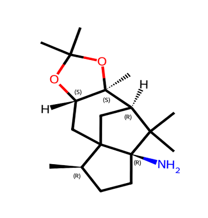 C[C@@H]1CC[C@@]2(N)C(C)(C)[C@H]3CC12C[C@@H]1OC(C)(C)O[C@]13C